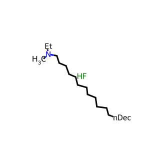 CCCCCCCCCCCCCCCCCCCCCCN(C)CC.F